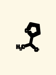 CC([O])c1ccco1